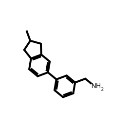 CC1Cc2ccc(-c3cccc(CN)c3)cc2C1